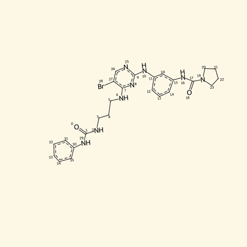 O=C(NCCCNc1nc(Nc2cccc(NC(=O)N3CCCC3)c2)ncc1Br)Nc1ccccc1